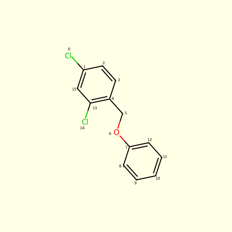 Clc1ccc(COc2[c]cccc2)c(Cl)c1